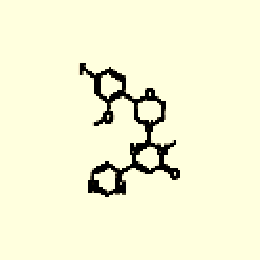 COc1cc(F)ccc1C1CN(c2nc(-c3ccncn3)cc(=O)n2C)CCO1